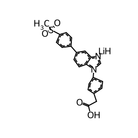 CS(=O)(=O)c1ccc(-c2ccc3c(c2)ncn3-c2ccc(CC(=O)O)cc2)cc1.[LiH]